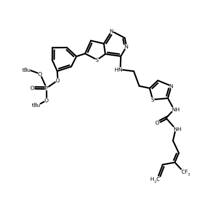 C=CC(=CCNC(=O)Nc1ncc(CCNc2ncnc3cc(-c4cccc(OP(=O)(OC(C)(C)C)OC(C)(C)C)c4)sc23)s1)C(F)(F)F